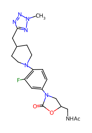 CC(=O)NCC1CN(c2ccc(N3CCC(Cc4nnn(C)n4)CC3)c(F)c2)C(=O)O1